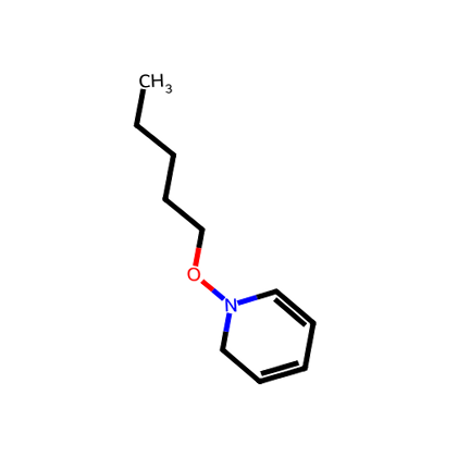 CCCCCON1C=CC=CC1